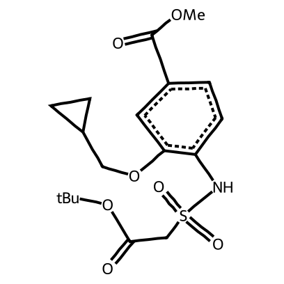 COC(=O)c1ccc(NS(=O)(=O)CC(=O)OC(C)(C)C)c(OCC2CC2)c1